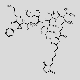 CCCNC(=O)[C@]1(NC(=O)[C@H](C)[C@@H](OC)[C@@H]2CCCN2C(=O)C[C@@H](OC)[C@H]([C@@H](C)CC)N(C)C(=O)[C@@H](NC(=O)[C@H](C(C)C)N(C)CCCC(=O)NNC(=O)CCCCCN2C(=O)C=CC2=O)C(C)C)C[C@@H]1c1ccccc1